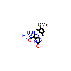 COc1ccc(C)c(-n2c(N)c(C(N)=O)c3nc(O)cnc32)c1C